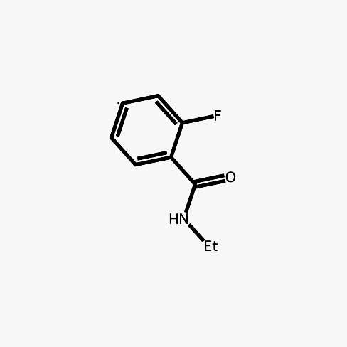 CCNC(=O)c1cc[c]cc1F